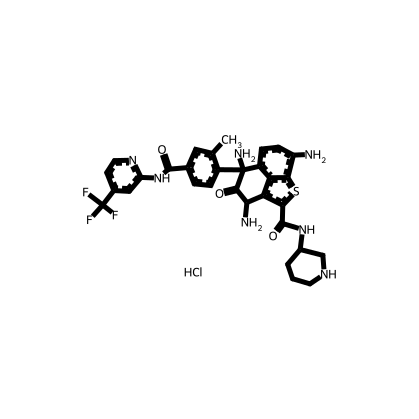 Cc1cc(C(=O)Nc2cc(C(F)(F)F)ccn2)ccc1C1(N)C(=O)C(N)c2c(C(=O)NC3CCCNC3)sc3c(N)ccc1c23.Cl